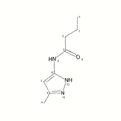 CCCC(=O)Nc1cc(C)n[nH]1